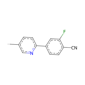 [CH2]c1ccc(-c2ccc(C#N)c(F)c2)nc1